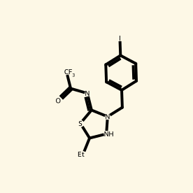 CCC1NN(Cc2ccc(I)cc2)C(=NC(=O)C(F)(F)F)S1